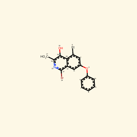 CCc1cc(Oc2ccccc2)cc2c(Br)nc(C(=O)O)c(O)c12